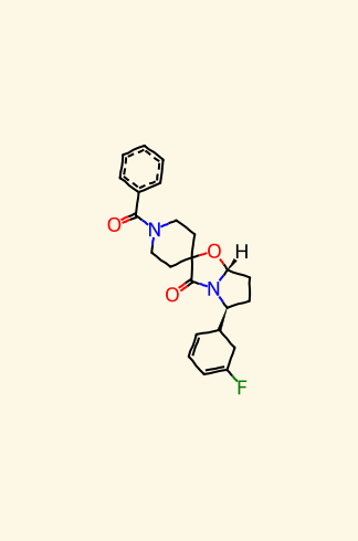 O=C(c1ccccc1)N1CCC2(CC1)O[C@@H]1CC[C@@H](C3C=CC=C(F)C3)N1C2=O